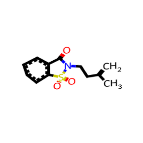 C=C(C)CCN1C(=O)c2ccccc2S1(=O)=O